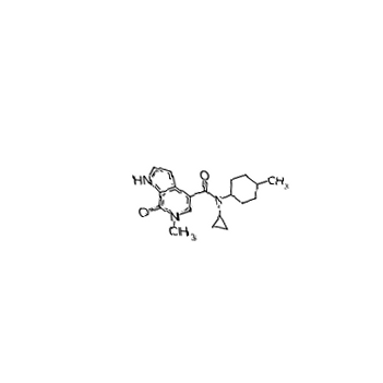 CC1CCC(N(C(=O)c2cn(C)c(=O)c3[nH]ccc23)C2CC2)CC1